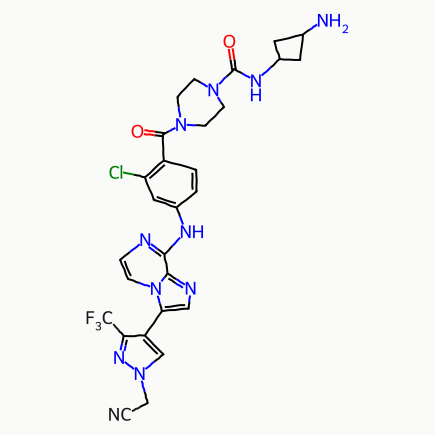 N#CCn1cc(-c2cnc3c(Nc4ccc(C(=O)N5CCN(C(=O)NC6CC(N)C6)CC5)c(Cl)c4)nccn23)c(C(F)(F)F)n1